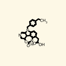 CCc1ccc(CN2C3=CN=CC(=O)C3c3c2ccc(CC(=O)O)c3NC=O)cc1